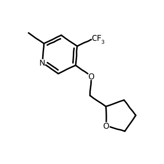 Cc1cc(C(F)(F)F)c(OCC2CCCO2)cn1